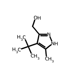 Cc1[nH]nc(CO)c1C(C)(C)C